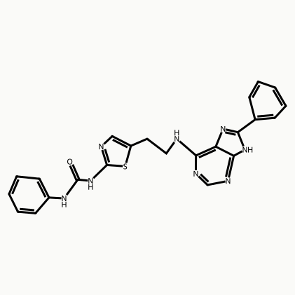 O=C(Nc1ccccc1)Nc1ncc(CCNc2ncnc3[nH]c(-c4ccccc4)nc23)s1